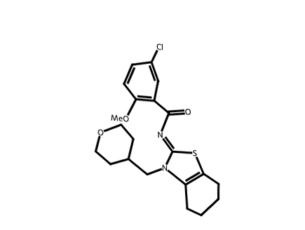 COc1ccc(Cl)cc1C(=O)/N=c1\sc2c(n1CC1CCOCC1)CCCC2